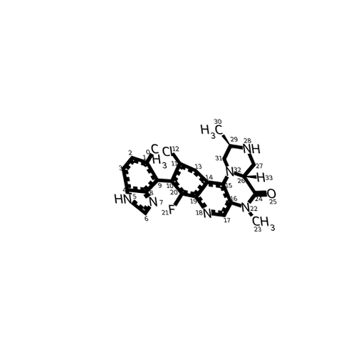 Cc1ccc2[nH]cnc2c1-c1c(Cl)cc2c3c(cnc2c1F)N(C)C(=O)[C@H]1CN[C@H](C)CN31